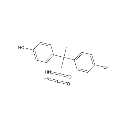 CC(C)(c1ccc(O)cc1)c1ccc(O)cc1.N=C=O.N=C=O